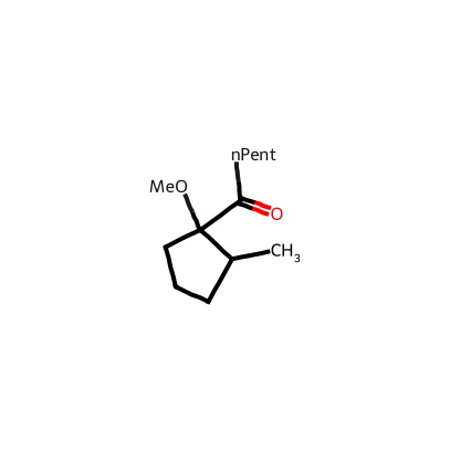 CCCCCC(=O)C1(OC)CCCC1C